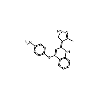 CC1=NNC/C1=C1\C=C(Sc2ccc(N)cc2)c2ccccc2N1